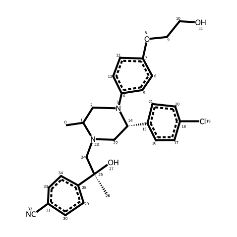 CC1CN(c2ccc(OCCO)cc2)[C@H](c2ccc(Cl)cc2)CN1C[C@@](C)(O)c1ccc(C#N)cc1